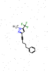 Cn1nc(C#CCCCc2ccccc2)cc1C(F)(F)F